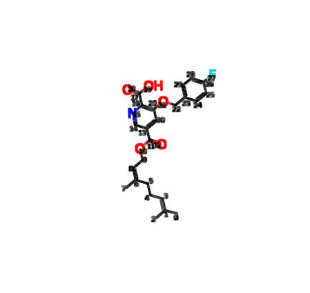 CC(C)=CCCC(C)=CCOC(=O)c1cnc(C(=O)O)c(OCc2ccc(F)cc2)c1